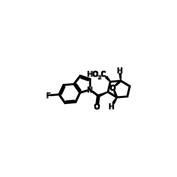 O=C(O)[C@@H]1[C@H](C(=O)n2ccc3cc(F)ccc32)[C@H]2CC[C@@H]1O2